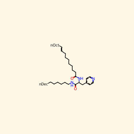 CCCCCCCCC=CCCCCCCCC(=O)NC(Cc1ccncc1)C(=O)NCCCCCCCCCCCCCCCC